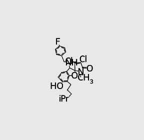 CC(C)CCCc1c(O)ccc2c1OC1(C(Cl)=C(Cl)C(=O)N1C)C2NCc1ccc(F)cc1